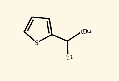 CCC(c1cccs1)C(C)(C)C